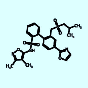 Cc1noc(NS(=O)(=O)c2ccccc2-c2ccc(-c3ncco3)cc2CS(=O)(=O)CC(C)C)c1C